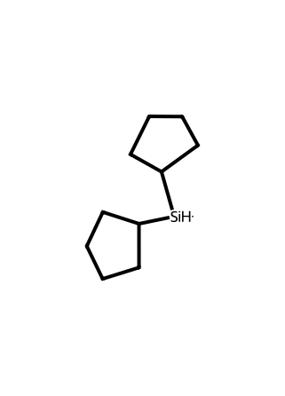 C1CCC([SiH]C2CCCC2)C1